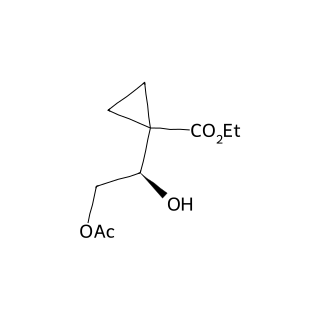 CCOC(=O)C1([C@@H](O)COC(C)=O)CC1